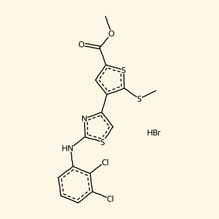 Br.COC(=O)c1cc(-c2csc(Nc3cccc(Cl)c3Cl)n2)c(SC)s1